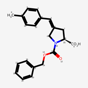 Cc1ccc(C=C2C[C@@H](C(=O)O)N(C(=O)OCc3ccccc3)C2)cc1